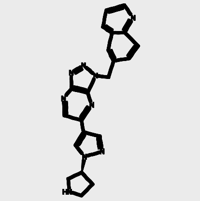 c1cnc2ccc(Cn3nnc4ncc(-c5cnn([C@H]6CCNC6)c5)nc43)cc2c1